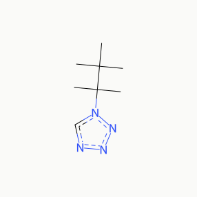 CC(C)(C)C(C)(C)n1cnnn1